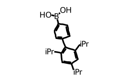 CC(C)c1cc(C(C)C)c(-c2ccc(B(O)O)cc2)c(C(C)C)c1